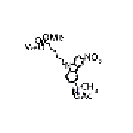 COP(=O)(CCCCCCn1c2ccc(/C(C)=N/OC(C)=O)cc2c2cc([N+](=O)[O-])ccc21)OC